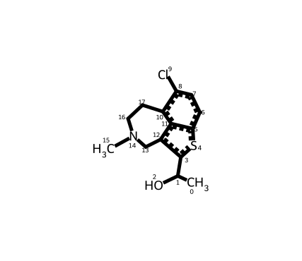 CC(O)c1sc2ccc(Cl)c3c2c1CN(C)CC3